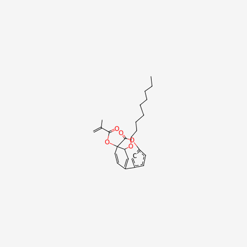 C=C(C)C(=O)OC12C=CC(=CC1OCCCCCCCCC)c1ccc(cc1)OC2=O